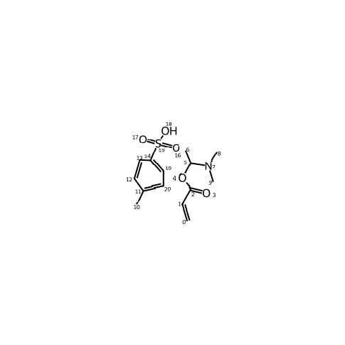 C=CC(=O)OC(C)N(C)C.Cc1ccc(S(=O)(=O)O)cc1